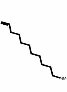 C=CCCCCCCCCCNC